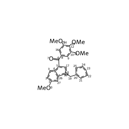 COc1ccc2c(C(=O)c3cc(OC)c(OC)c(OC)c3)cn(Cc3ccccc3)c2c1